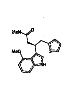 CNC(=O)C[C@@H](Cc1cccs1)c1c[nH]c2cccc(OC)c12